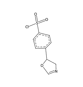 O=S(=O)(Cl)c1ccc(C2CN=CO2)cc1